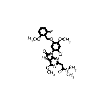 COc1cc(Cl)c(-n2c(=O)[nH]c3c(OC)nc(CC(=O)N(C)C)nc32)cc1OCc1c(F)cccc1OC